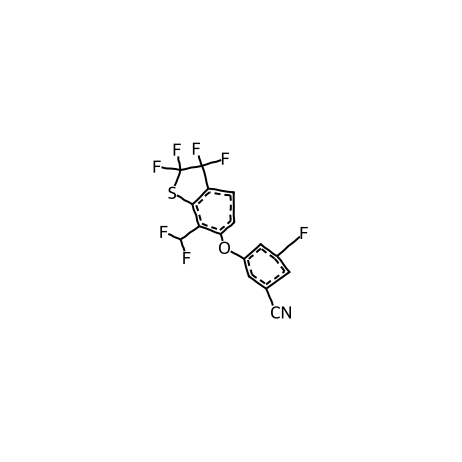 N#Cc1cc(F)cc(Oc2ccc3c(c2C(F)F)SC(F)(F)C3(F)F)c1